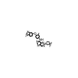 Cc1cc(Nc2ncnc3cnc(N4CCC(F)(F)C4)nc23)ccc1Oc1ccc2c(c1)ncn2C